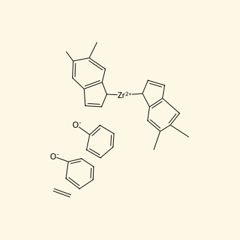 C=C.Cc1cc2c(cc1C)[CH]([Zr+2][CH]1C=Cc3cc(C)c(C)cc31)C=C2.[O-]c1ccccc1.[O-]c1ccccc1